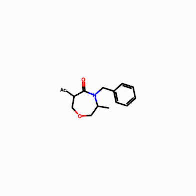 CC(=O)C1COCC(C)N(Cc2ccccc2)C1=O